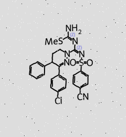 CS/C(N)=N\C(=N\S(=O)(=O)c1ccc(C#N)cc1)N1CCC(c2ccccc2)C(c2ccc(Cl)cc2)=N1